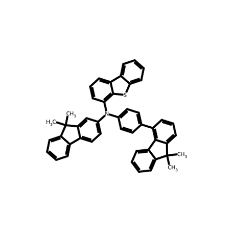 CC1(C)c2ccccc2-c2ccc(N(c3ccc(-c4cccc5c4-c4ccccc4C5(C)C)cc3)c3cccc4c3sc3ccccc34)cc21